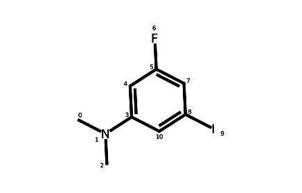 CN(C)c1cc(F)cc(I)c1